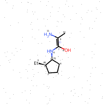 CC[C@@H]1CCC[C@@H]1N/C(O)=C(/C)N